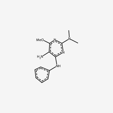 COc1nc(N(C)C)nc(Nc2ccccc2)c1N